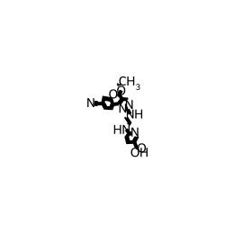 CCOC(=O)c1cnc(NCCNc2ccc(C(=O)O)cn2)nc1-c1ccc(C#N)cc1